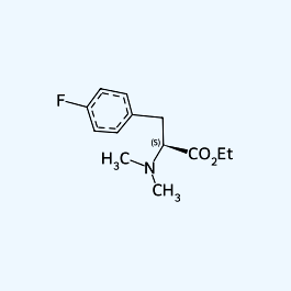 CCOC(=O)[C@H](Cc1ccc(F)cc1)N(C)C